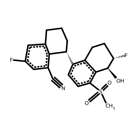 CS(=O)(=O)c1ccc([C@H]2CCCc3cc(F)cc(C#N)c32)c2c1[C@H](O)[C@@H](F)CC2